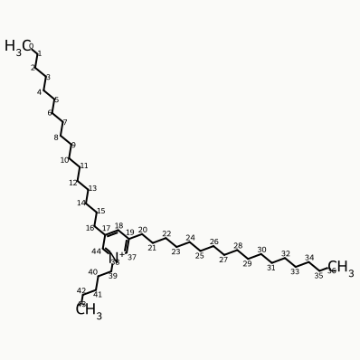 CCCCCCCCCCCCCCCCCc1cc(CCCCCCCCCCCCCCCCC)c[n+](CCCCC)c1